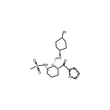 CC(C)[C@H]1CC[C@@H](OC[C@H]2[C@@H](NS(C)(=O)=O)CCCN2C(=O)c2ccco2)CC1